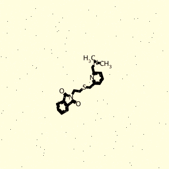 CN(C)Cc1cccc(CSCCN2C(=O)c3ccccc3C2=O)n1